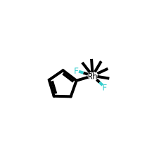 [CH3][Rh]([CH3])([CH3])([CH3])([CH3])([F])([F])[C]1=CC=CC1